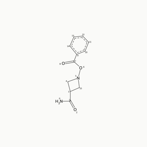 NC(=O)C1CN(OC(=O)c2ccccc2)C1